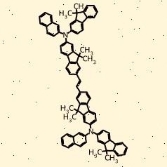 CC1(C)c2ccccc2-c2ccc(N(c3ccc4c(c3)C(C)(C)c3cc(/C=C/c5ccc6c(c5)C(C)(C)c5cc(N(c7ccc8c(c7)C(C)(C)c7ccccc7-8)c7ccc8ccccc8c7)ccc5-6)ccc3-4)c3ccc4ccccc4c3)cc21